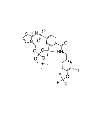 CC(C)(C)OP(=O)(OCn1ccs/c1=N/S(=O)(=O)c1ccc(C(=O)NCc2ccc(OC(F)(F)F)c(Cl)c2)cc1)OC(C)(C)C